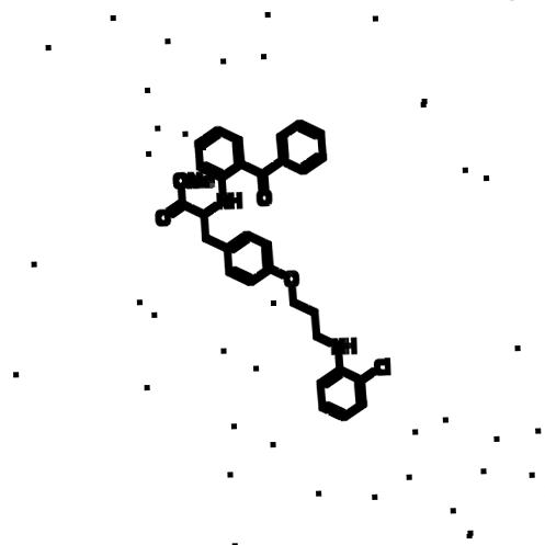 COC(=O)C(Cc1ccc(OCCCNc2ccccc2Cl)cc1)Nc1ccccc1C(=O)c1ccccc1